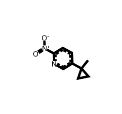 CC1(c2ccc([N+](=O)[O-])nc2)CC1